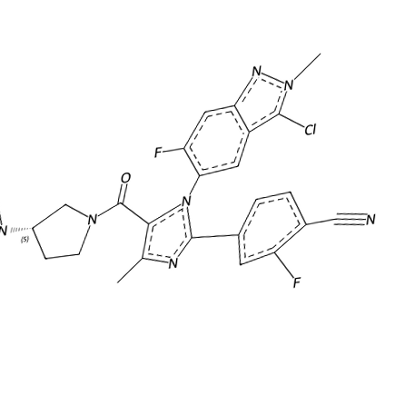 Cc1nc(-c2ccc(C#N)c(F)c2)n(-c2cc3c(Cl)n(C)nc3cc2F)c1C(=O)N1CC[C@H](N(C)C)C1